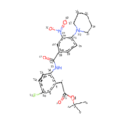 CC(C)(C)OC(=O)Cc1cc(F)ccc1NC(=O)c1ccc(N2CCCCC2)c([N+](=O)[O-])c1